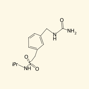 CC(C)NS(=O)(=O)Cc1cccc(CNC(N)=O)c1